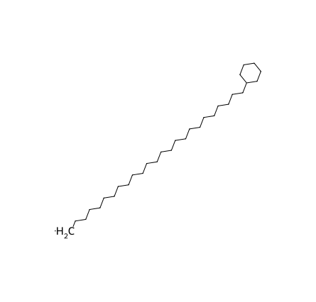 [CH2]CCCCCCCCCCCCCCCCCCCCCCCCC1CCCCC1